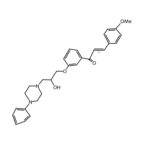 COc1ccc(/C=C/C(=O)c2cccc(OCC(O)CN3CCN(c4ccccc4)CC3)c2)cc1